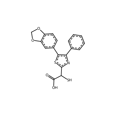 O=C(O)C(S)c1nc(-c2ccccc2)c(-c2ccc3c(c2)OCO3)s1